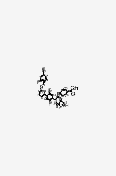 N#Cc1ccc(COc2cccc(-c3cc(F)c(Cc4nc5ccc(C(=O)O)cc5n4[C@@H]4CNCC45CC5)cc3F)n2)c(F)c1